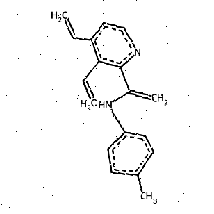 C=Cc1ccnc(C(=C)Nc2ccc(C)cc2)c1C=C